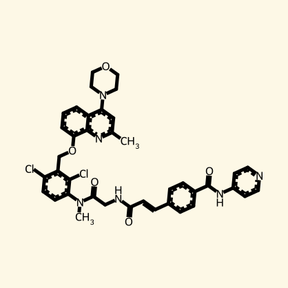 Cc1cc(N2CCOCC2)c2cccc(OCc3c(Cl)ccc(N(C)C(=O)CNC(=O)C=Cc4ccc(C(=O)Nc5ccncc5)cc4)c3Cl)c2n1